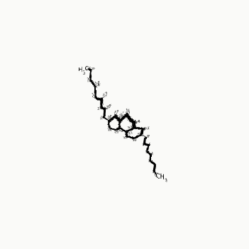 CCCCCCCCC[C@@H]1CCC2C(CCC3C[C@H](CCCCCCCCC)CCC32)C1